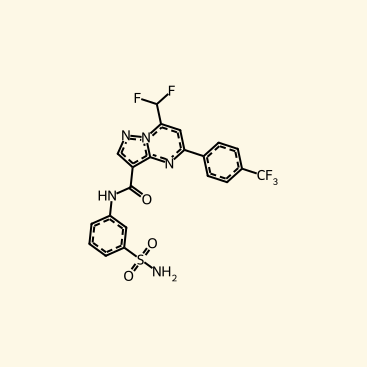 NS(=O)(=O)c1cccc(NC(=O)c2cnn3c(C(F)F)cc(-c4ccc(C(F)(F)F)cc4)nc23)c1